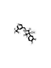 O=C(NCc1cncc(C(F)(F)F)c1)[C@](O)(c1ccc(F)c(F)c1)C(F)(F)F